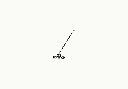 CCCCCCCCCCCCCCCCCCc1cc(O)nc(S)n1